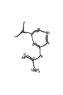 CC(C)c1cncc(CC(=N)N)c1